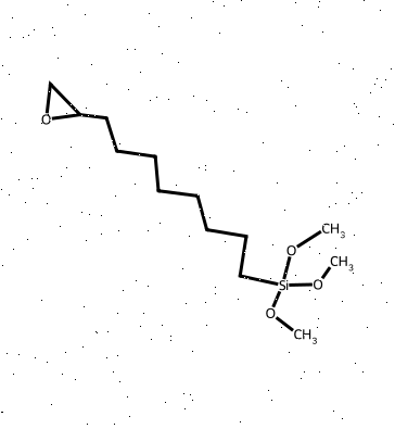 CO[Si](CCCCCCCCC1CO1)(OC)OC